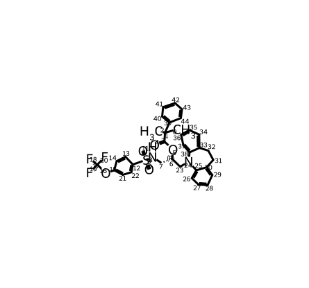 CC(C)(C(=O)O[C@@H](CNS(=O)(=O)c1ccc(OC(F)(F)F)cc1)CN1c2ccccc2CCc2ccccc21)c1ccccc1